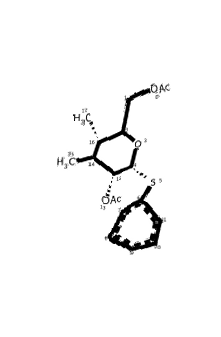 CC(=O)OCC1O[C@H](Sc2ccccc2)[C@H](OC(C)=O)C(C)[C@@H]1C